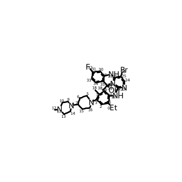 CCc1cc(N2CCC(N3CCN(C)CC3)CC2)c(C)cc1Nc1ncc(Br)c(Nc2cc(F)ccc2C(C)(C)O)n1